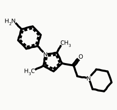 Cc1cc(C(=O)CN2CCCCC2)c(C)n1-c1ccc(N)cc1